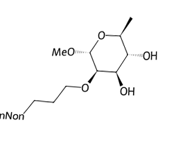 CCCCCCCCCCCCO[C@H]1[C@H](OC)O[C@@H](C)[C@H](O)[C@H]1O